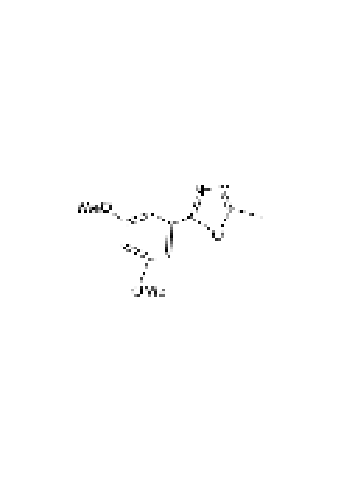 COc1cc(OC)cc(-c2n[c]c(C)o2)c1